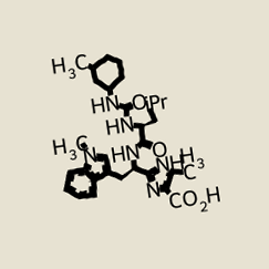 Cc1[nH]c([C@@H](Cc2cn(C)c3ccccc23)NC(=O)[C@H](CC(C)C)NC(=O)NC2CCCC(C)C2)nc1C(=O)O